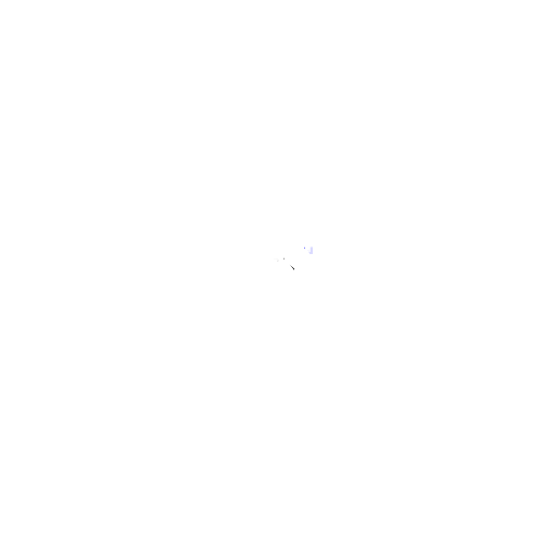 Cc1ccc2c(c1)[C@H]1NCCCC1C2